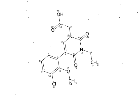 CCn1c(=O)c(-c2cccc(Cl)c2OC)cn(CC(=O)O)c1=O